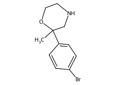 CC1(c2ccc(Br)cc2)CNCCO1